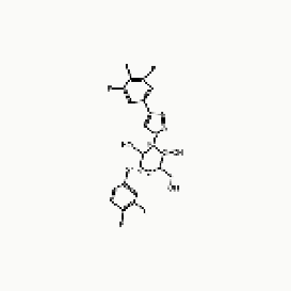 OCC1O[C@H](Sc2ccc(F)c(Cl)c2)C(O)[C@@H](n2cc(-c3cc(F)c(F)c(F)c3)nn2)[C@H]1O